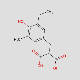 CCc1cc(CC(C(=O)O)C(=O)O)cc(C)c1O